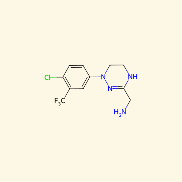 NCC1=NN(c2ccc(Cl)c(C(F)(F)F)c2)CCN1